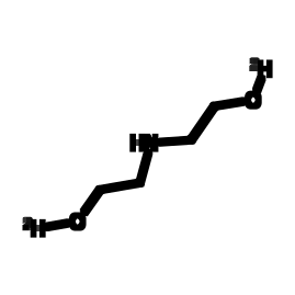 [2H]OCCNCCO[2H]